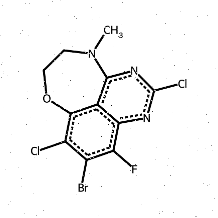 CN1CCOc2c(Cl)c(Br)c(F)c3nc(Cl)nc1c23